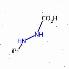 CC(C)NNC(=O)O